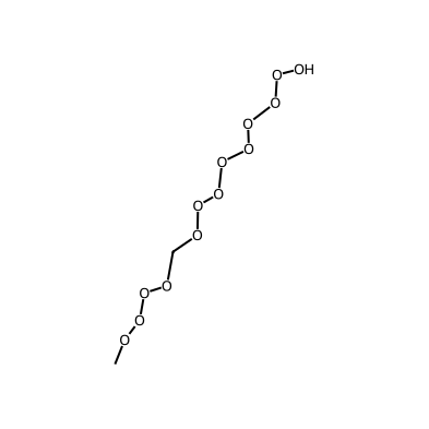 COOOOCOOOOOOOOO